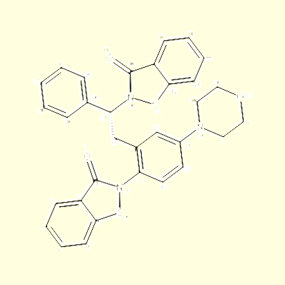 O=c1c2ccccc2sn1-c1ccc(N2CCOCC2)cc1C[C@H](c1ccccc1)n1sc2ccccc2c1=O